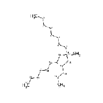 CCCCCCCCC([SiH3])(CCCCC)CCCCCCCC